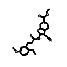 CCOC(=O)N1CCc2c(sc(NC(=O)C=Cc3cc(OC)ccc3OC)c2C#N)C1